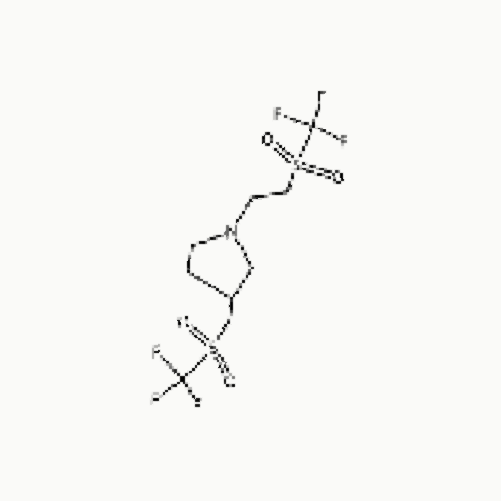 O=S(=O)(CCN1CCC(CS(=O)(=O)C(F)(F)F)C1)C(F)(F)F